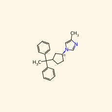 Cc1cn([C@H]2CCC(C(C)(c3ccccc3)c3ccccc3)C2)cn1